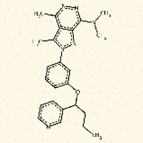 Cc1nnc(N(C)C)c2nn(-c3cccc(OC(CCN)c4cccnc4)c3)c(C)c12